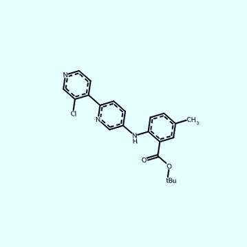 Cc1ccc(Nc2ccc(-c3ccncc3Cl)nc2)c(C(=O)OC(C)(C)C)c1